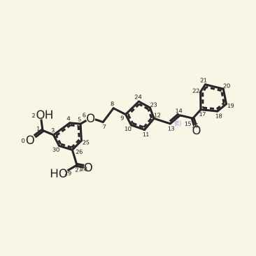 O=C(O)c1cc(OCCc2ccc(/C=C/C(=O)c3ccccc3)cc2)cc(C(=O)O)c1